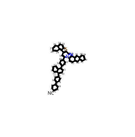 N#Cc1ccc(-c2ccc(-c3ccc(-c4ccc(-c5cc6c(sc7ccc8ccccc8c76)c6nc7c8cc9ccccc9cc8ccc7n56)cc4)c4ccccc34)cc2)cc1